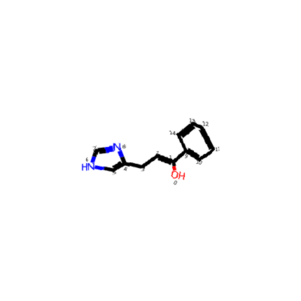 OC(=CCc1c[nH]cn1)c1ccccc1